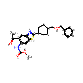 COC(=O)c1cc2nc(C3CCC(COCc4ccccc4)CC3)sc2cc1NC(=O)OC(C)(C)C